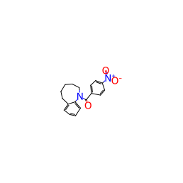 O=C(c1ccc([N+](=O)[O-])cc1)N1CCCCCc2ccccc21